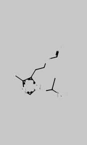 CC(C)N.Cc1[nH]cnc1CCOC=O